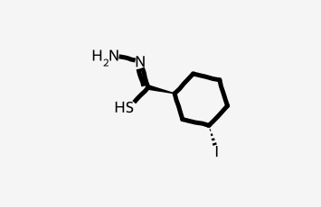 N/N=C(\S)[C@H]1CCC[C@H](I)C1